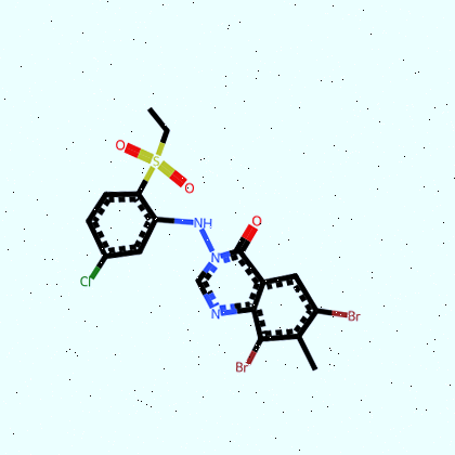 CCS(=O)(=O)c1ccc(Cl)cc1Nn1cnc2c(Br)c(C)c(Br)cc2c1=O